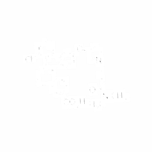 CN(C)C(=O)C=CCN1CC[C@H](Oc2ccc(C3=C(c4ccccc4Cl)CCCc4cc(C(=O)O)ccc43)cc2)C1